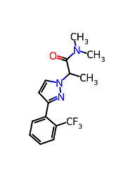 CC(C(=O)N(C)C)n1ccc(-c2ccccc2C(F)(F)F)n1